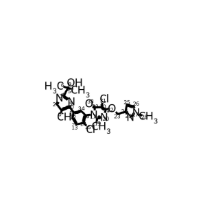 Cc1cnc(C(C)(C)O)nc1-c1ccc(Cl)c(-n2c(C)nc(OCc3ccn(C)n3)c(Cl)c2=O)c1